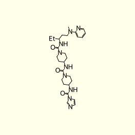 CCC(CCN(C)c1ccccn1)NC(=O)N1CCC(NC(=O)N2CCC(NC(=O)n3ccnc3)CC2)CC1